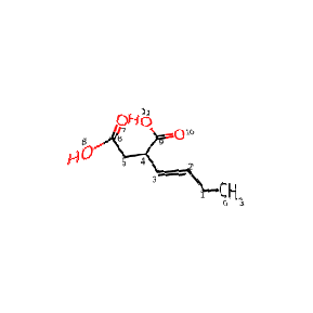 CCC=CC(CC(=O)O)C(=O)O